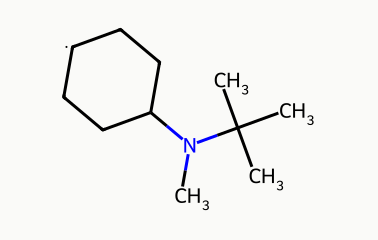 CN(C1CC[CH]CC1)C(C)(C)C